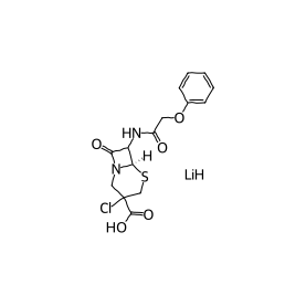 O=C(COc1ccccc1)NC1C(=O)N2CC(Cl)(C(=O)O)CS[C@H]12.[LiH]